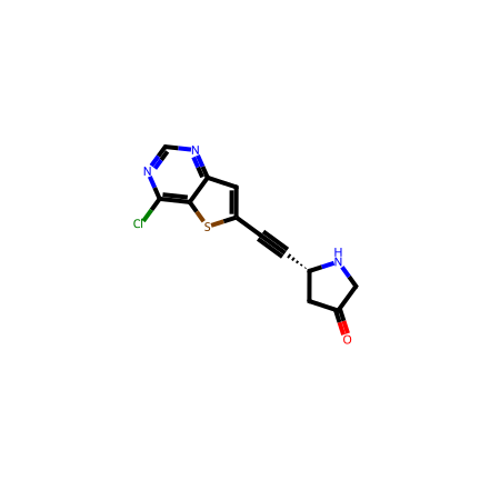 O=C1CN[C@@H](C#Cc2cc3ncnc(Cl)c3s2)C1